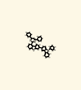 c1ccc(-c2cc(-c3ccccc3)nc(-c3cccc4sc5cc(-c6ccc7c(c6)c6ccccc6n7-c6ccccc6)ccc5c34)n2)cc1